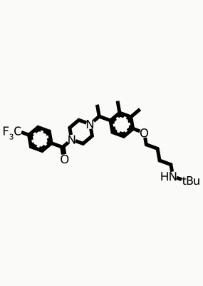 Cc1c(OCCCCNC(C)(C)C)ccc(C(C)N2CCN(C(=O)c3ccc(C(F)(F)F)cc3)CC2)c1C